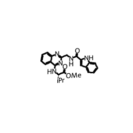 COC(=O)[C@@H](Nc1nc(CNC(=O)c2cc3ccccc3[nH]2)nc2ccccc12)C(C)C